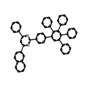 c1ccc(-c2cc(-c3ccc4ccccc4c3)nc(-c3ccc(-c4cc(-c5ccccc5)c(-c5ccccc5)c(-c5ccccc5)c4-c4ccccc4)cc3)n2)cc1